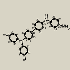 Cc1ccc(N(c2ccc(C)cc2)c2ccc(-c3ccc(Nc4ccc(N)cc4)cc3)cc2)cc1